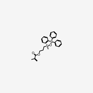 C=C(C)C(=O)OCCC[Si](C)(C)O[Si](c1ccccc1)(c1ccccc1)c1ccccc1